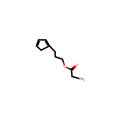 CCC(=O)OCCCC1=CC=CC1